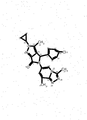 Cc1cc(N2C(=O)c3nn(C4CC4)c(C)c3C2c2ccc(Cl)cc2)cn2c(C)nnc12